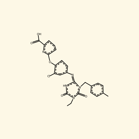 CCn1c(=O)[nH]/c(=N\c2ccc(Oc3cccc(C(=O)O)n3)c(Cl)c2)n(Cc2ccc(C)cc2)c1=O